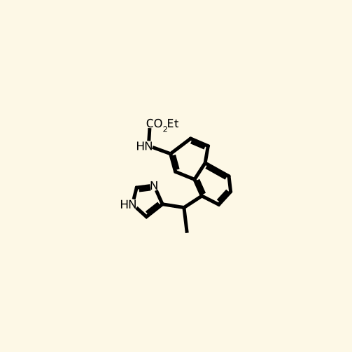 CCOC(=O)Nc1ccc2cccc(C(C)c3c[nH]cn3)c2c1